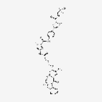 COc1cc2c(cc1OCCCC(=O)Nc1cn(C)c(C(=O)Nc3ccc(-c4cc(C(=O)NCC(C)(C)S)n(C)c4)cc3)n1)N=C[C@@H]1Cc3ccccc3N1C2=O